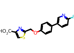 O=C(O)c1csc(COc2ccc(-c3ccc(F)nc3)cc2)n1